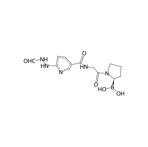 O=CNNc1ccc(C(=O)NCC(=O)N2CCC[C@H]2B(O)O)cn1